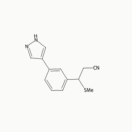 CSC(CC#N)c1cccc(-c2cn[nH]c2)c1